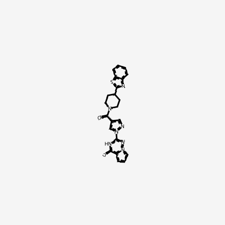 O=C(c1cnn(-c2nn3cccc3c(=O)[nH]2)c1)N1CCC(c2nc3ccccc3s2)CC1